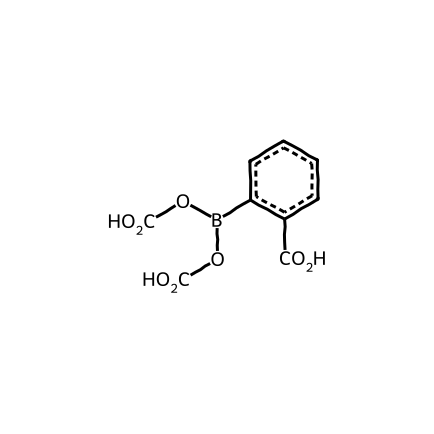 O=C(O)OB(OC(=O)O)c1ccccc1C(=O)O